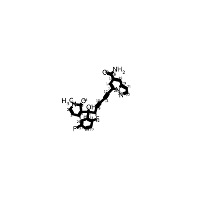 Cn1cccc(C(O)(CC#CC#Cc2cc(C(N)=O)cc3ccnn23)c2cc(F)ccc2F)c1=O